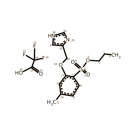 CCCOS(=O)(=O)c1ccc(C)cc1OCc1c[nH]cn1.O=C(O)C(F)(F)F